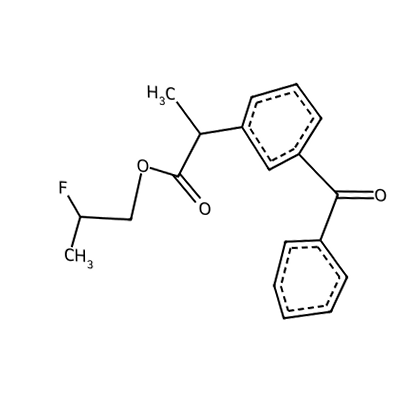 CC(F)COC(=O)C(C)c1cccc(C(=O)c2ccccc2)c1